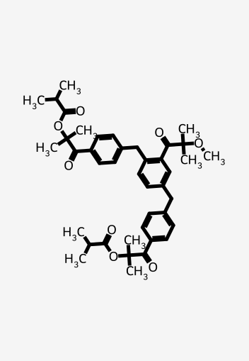 COC(C)(C)C(=O)c1cc(Cc2ccc(C(=O)C(C)(C)OC(=O)C(C)C)cc2)ccc1Cc1ccc(C(=O)C(C)(C)OC(=O)C(C)C)cc1